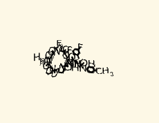 Cc1ccc(NC(O)N[C@@H](Cc2cc(F)cc(F)c2)C(=O)N[C@H]2COC(=O)C3C[C@@H](F)CN3C(=O)[C@H](C)NC(=O)C3CCCCN3C(=O)C3CCCN3C2=O)cc1